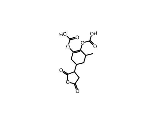 CC1CC(C2CC(=O)OC2=O)CC(OC(=O)O)=C1OC(=O)O